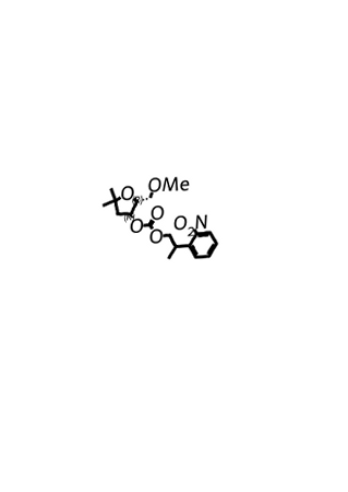 COC[C@H]1OC(C)(C)C[C@H]1OC(=O)OCC(C)c1ccccc1[N+](=O)[O-]